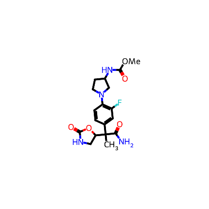 COC(=O)NC1CCN(c2ccc(C(C)(C(N)=O)C3CNC(=O)O3)cc2F)C1